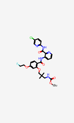 CC(C)(CNC(=O)OC(C)(C)C)COc1cc(OCCF)ccc1C(=O)Nc1cccnc1C(=O)Nc1ccc(Cl)cn1